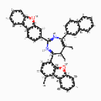 CC1=C(c2ccc3ccccc3c2)N=C(c2ccc3c(c2)oc2ccccc23)N=C(c2ccc(C)c3c2oc2ccccc23)C1C